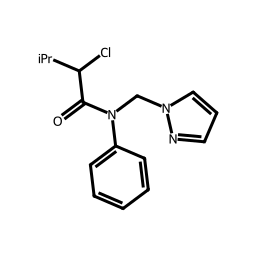 CC(C)C(Cl)C(=O)N(Cn1cccn1)c1ccccc1